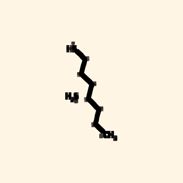 CCCCCCCS.S